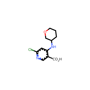 O=C(O)c1cnc(Cl)cc1NC1CCCOC1